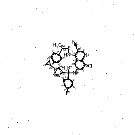 BC(Nc1cc(Cl)c2ncc(C#N)c(NC[C@@H](C)c3ccccc3)c2c1)(c1ccc(F)cc1)c1cn(C2CC2)nn1